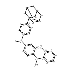 CC(C)N(c1ccc(N(C)c2ccc(C34CC5CC(CC(C5)C3)C4)cc2)cc1)c1ccccc1C(=O)O